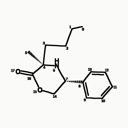 CCCC[C@@]1(C)N[C@H](c2ccccc2)COC1=O